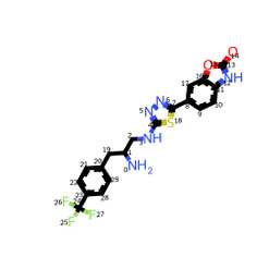 NC(CNc1nnc(-c2ccc3[nH]c(=O)oc3c2)s1)Cc1ccc(C(F)(F)F)cc1